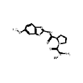 CC(C)[C@@H](N)C(=O)N1CCCC1C(=O)Nc1nc2ccc(OC(F)(F)F)cc2s1